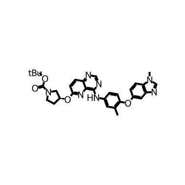 Cc1cc(Nc2ncnc3ccc(O[C@H]4CCN(C(=O)OC(C)(C)C)C4)nc23)ccc1Oc1ccc2c(c1)ncn2C